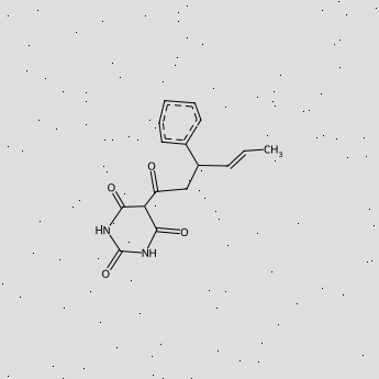 CC=CC(CC(=O)C1C(=O)NC(=O)NC1=O)c1ccccc1